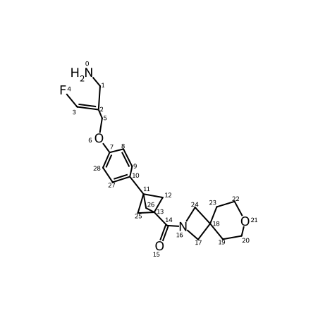 NCC(=CF)COc1ccc(C23CC(C(=O)N4CC5(CCOCC5)C4)(C2)C3)cc1